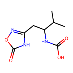 CC(C)C(Cc1noc(=O)[nH]1)NC(=O)O